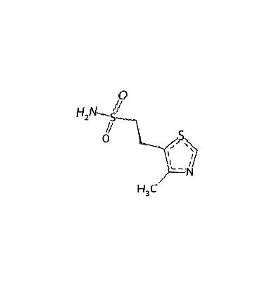 Cc1ncsc1CCS(N)(=O)=O